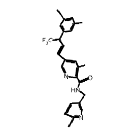 Cc1cc(C)cc(C(/C=C/c2cnc(C(=O)NCc3ccc(C)nc3)c(C)c2)C(F)(F)F)c1